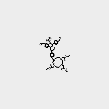 CCOC(=O)CN1CCCN(CC(=O)OCC)CCN(Cc2ccc(C(CC)CC(CC(COPP)c3ccc(CCl)cc3)c3ccc(CCl)cc3)cc2)CCCN(CC(=O)OCC)CC1